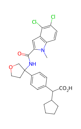 Cn1c(C(=O)NC2(c3ccc(C(C(=O)O)C4CCCC4)cc3)CCOC2)cc2c(Cl)c(Cl)ccc21